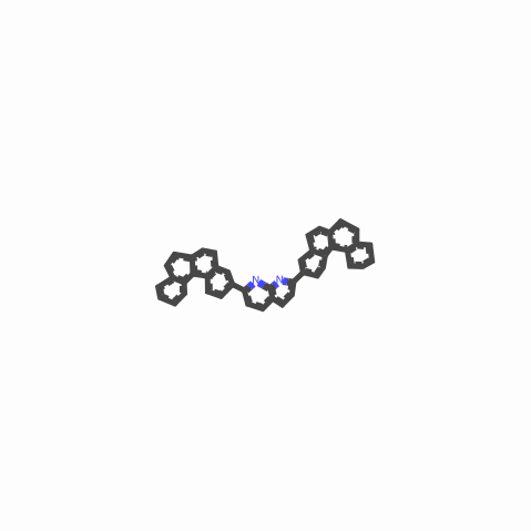 c1ccc2c(c1)ccc1ccc3cc(-c4ccc5ccc(-c6ccc7c(ccc8ccc9ccccc9c87)c6)nc5n4)ccc3c12